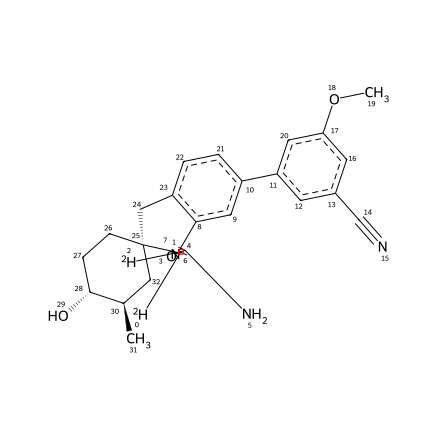 [2H]C1([2H])OC(N)=NC12c1cc(-c3cc(C#N)cc(OC)c3)ccc1C[C@]21CC[C@@H](O)[C@H](C)C1